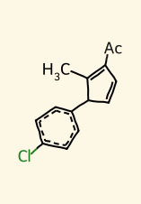 CC(=O)C1=C(C)C(c2ccc(Cl)cc2)C=C1